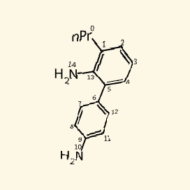 CCCc1cccc(-c2ccc(N)cc2)c1N